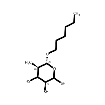 CCCCCCO[C@@H]1OC(S)[C@@H](S)C(S)[C@H]1C